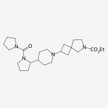 CCOC(=O)N1CCC2(CC(N3CCC(C4CCCN4C(=O)N4CCCC4)CC3)C2)C1